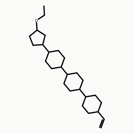 C=CC1CCC(C2CCC(C3CCC(C4CCC(OCC)C4)CC3)CC2)CC1